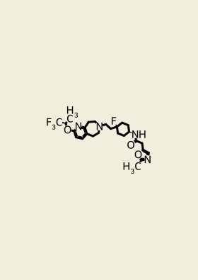 Cc1ncc(CC(=O)N[C@H]2CC[C@](F)(CCN3CCc4ccc(O[C@H](C)C(F)(F)F)nc4CC3)CC2)o1